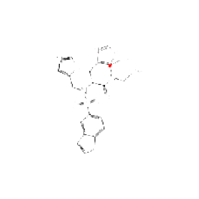 CC(C)CN(CC(C)C)C(=O)[C@H](Cc1cscn1)N(Cc1cncs1)S(=O)(=O)c1ccc2occc2c1